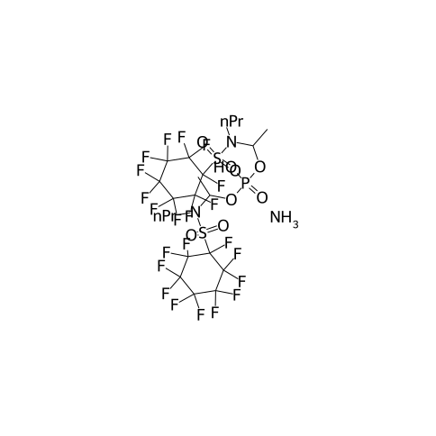 CCCN(C(C)OP(=O)(O)OC(C)N(CCC)S(=O)(=O)C1(F)C(F)(F)C(F)(F)C(F)(F)C(F)(F)C1(F)F)S(=O)(=O)C1(F)C(F)(F)C(F)(F)C(F)(F)C(F)(F)C1(F)F.N